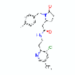 Cc1ccc(CN2C(=O)CCC2CC(=O)NCCc2ncc(C(F)(F)F)cc2Cl)cc1